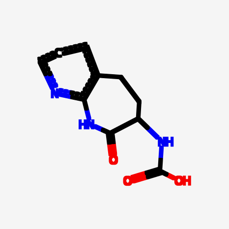 O=C(O)NC1CCc2cccnc2NC1=O